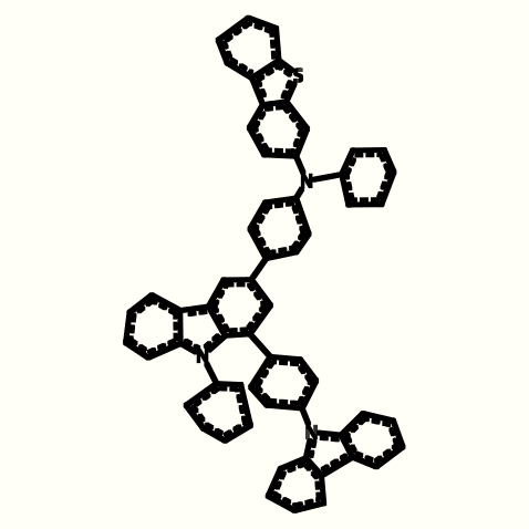 c1ccc(N(c2ccc(-c3cc(-c4ccc(-n5c6ccccc6c6ccccc65)cc4)c4c(c3)c3ccccc3n4-c3ccccc3)cc2)c2ccc3c(c2)sc2ccccc23)cc1